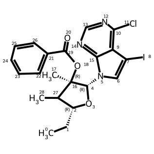 CC[C@H]1O[C@@H](n2cc(I)c3c(Cl)ncnc32)[C@](C)(OC(=O)c2ccccc2)C1C